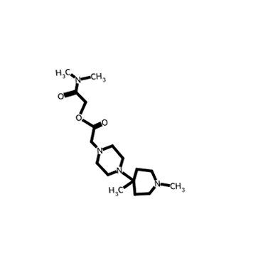 CN1CCC(C)(N2CCN(CC(=O)OCC(=O)N(C)C)CC2)CC1